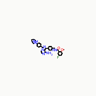 COc1ccc(F)cc1C(=O)NCc1ccc(-c2nc(-c3ccc(N4CC5CC(C4)N5)cc3)n3ccnc(N)c23)cc1